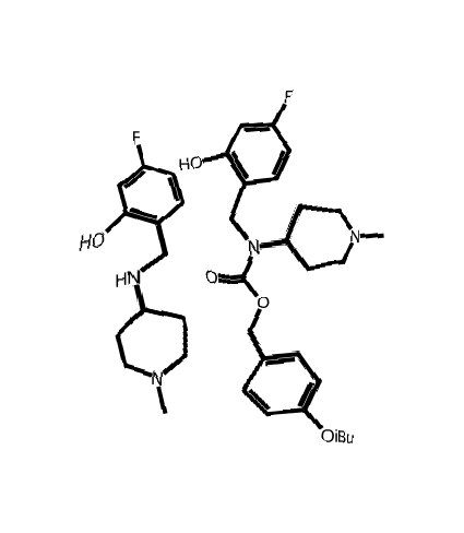 CC(C)COc1ccc(COC(=O)N(Cc2ccc(F)cc2O)C2CCN(C)CC2)cc1.CN1CCC(NCc2ccc(F)cc2O)CC1